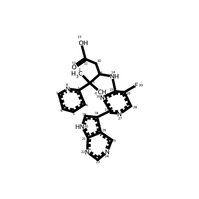 CC(C)(c1ccccn1)C(CC(=O)O)Nc1nc(-c2c[nH]c3ncncc23)ncc1F